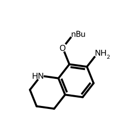 CCCCOc1c(N)ccc2c1NCCC2